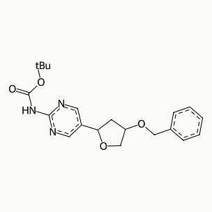 CC(C)(C)OC(=O)Nc1ncc(C2CC(OCc3ccccc3)CO2)cn1